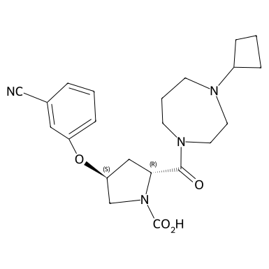 N#Cc1cccc(O[C@H]2C[C@H](C(=O)N3CCCN(C4CCC4)CC3)N(C(=O)O)C2)c1